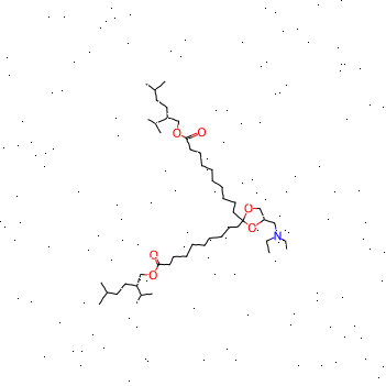 CCN(CC)CC1COC(CCCCCCCCCC(=O)OCC(CCC(C)C)C(C)C)(CCCCCCCCCC(=O)OCC(CCC(C)C)C(C)C)O1